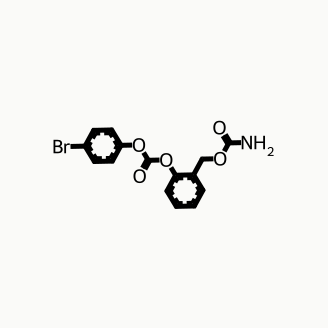 NC(=O)OCc1ccccc1OC(=O)Oc1ccc(Br)cc1